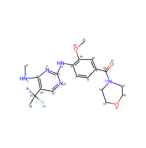 CNc1nc(Nc2ccc(C(=O)N3CCOCC3)cc2OC)ncc1C(C)(F)I